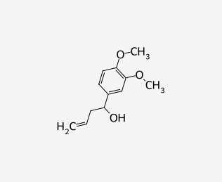 C=CCC(O)c1ccc(OC)c(OC)c1